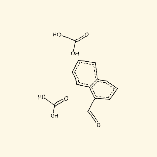 O=C(O)O.O=C(O)O.O=Cc1cccc2ccccc12